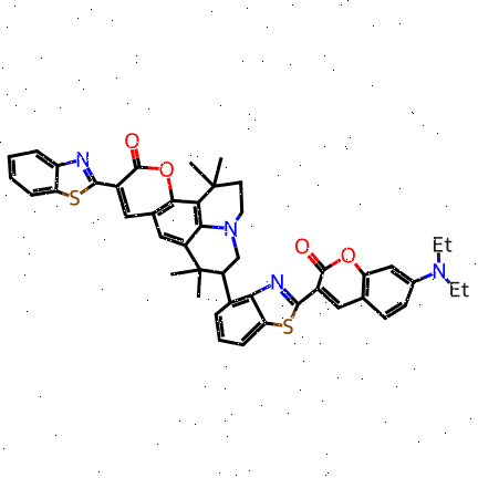 CCN(CC)c1ccc2cc(-c3nc4c(C5CN6CCC(C)(C)c7c6c(cc6cc(-c8nc9ccccc9s8)c(=O)oc76)C5(C)C)cccc4s3)c(=O)oc2c1